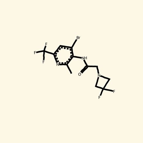 Cc1nc(C(F)(F)F)cc(Br)c1NC(=O)CN1CC(F)(F)C1